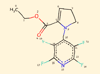 CCOC(=O)C1=CCCN1c1c(F)c(F)nc(F)c1F